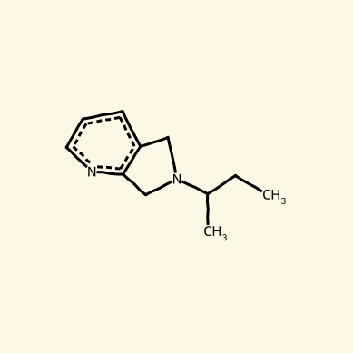 CCC(C)N1Cc2cccnc2C1